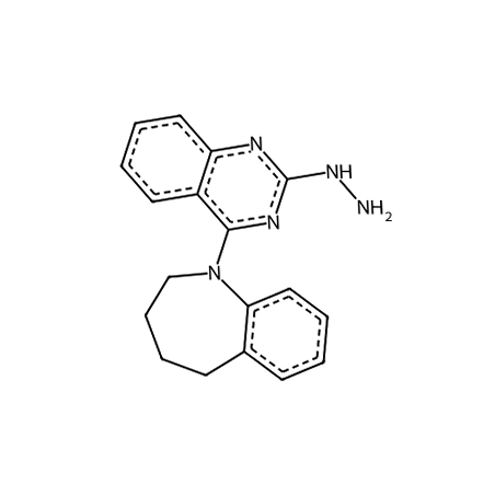 NNc1nc(N2CCCCc3ccccc32)c2ccccc2n1